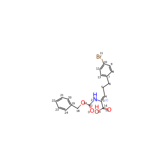 O=C(N/C(=C\CCc1ccc(Br)cc1)C(=O)O)OCc1ccccc1